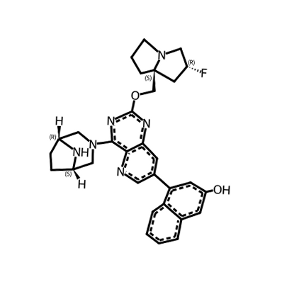 Oc1cc(-c2cnc3c(N4C[C@H]5CC[C@@H](C4)N5)nc(OC[C@@]45CCCN4C[C@H](F)C5)nc3c2)c2ccccc2c1